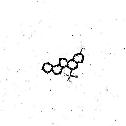 CC(C)(C)[Si](C)(C)c1cc2ccc(O)cc2c2ccc3c4ccccc4ccc3c12